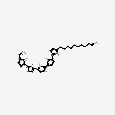 C=CCCCCCCCCCc1ccc(-c2ccc(-c3ccc(-c4ccc(-c5ccc(CC)s5)s4)s3)s2)s1